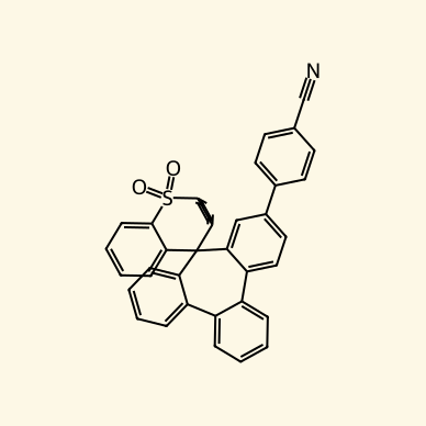 N#Cc1ccc(-c2ccc3c(c2)C2(c4ccccc4-c4ccccc4-3)c3ccccc3S(=O)(=O)c3ccccc32)cc1